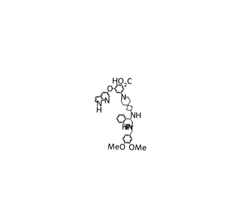 COc1ccc(CNC[C@H](NC2CC3(CCN(c4ccc(C(=O)O)c(Oc5cnc6[nH]ccc6c5)c4)CC3)C2)c2ccccc2C(C)C)cc1OC